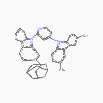 CC(C)(C)c1ccc2c(c1)c1cc(C(C)(C)C)ccc1n2-c1ccnc(-n2c3ccccc3c3ccc(C45CC6CC(CC(C6)C4)C5)cc32)c1